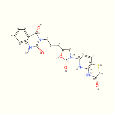 Cn1c(=O)n(CCCC2CN(c3ccc4c(n3)NC(=O)CS4)C(=O)O2)c(=O)c2ccccc21